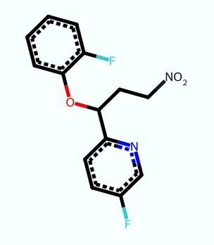 O=[N+]([O-])CCC(Oc1ccccc1F)c1ccc(F)cn1